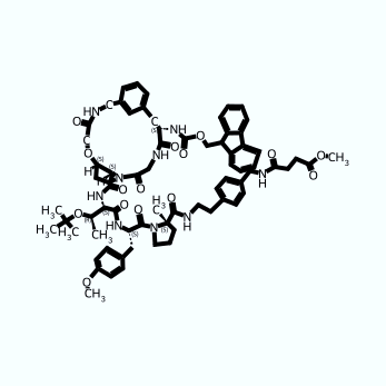 COC(=O)CCC(=O)NCc1ccc(CCNC(=O)[C@]2(C)CCCN2C(=O)[C@H](Cc2ccc(OC)cc2)NC(=O)[C@@H](NC(=O)[C@@H]2[C@@H]3CCN2C(=O)CNC(=O)[C@@H](NC(=O)OCC2c4ccccc4-c4ccccc42)Cc2cccc(c2)CNC(=O)CO3)[C@@H](C)OC(C)(C)C)cc1